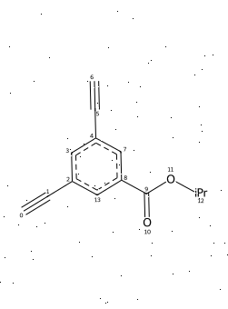 C#Cc1cc(C#C)cc(C(=O)OC(C)C)c1